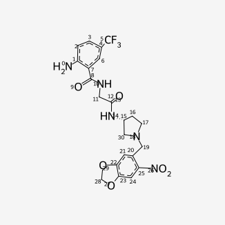 Nc1ccc(C(F)(F)F)cc1C(=O)NCC(=O)N[C@@H]1CCN(Cc2cc3c(cc2[N+](=O)[O-])OCO3)C1